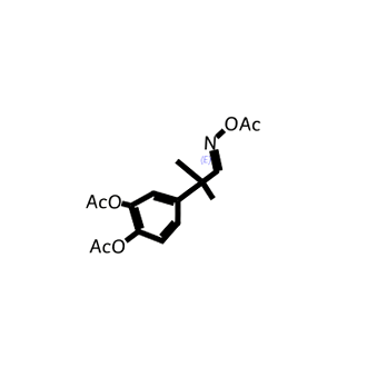 CC(=O)O/N=C/C(C)(C)c1ccc(OC(C)=O)c(OC(C)=O)c1